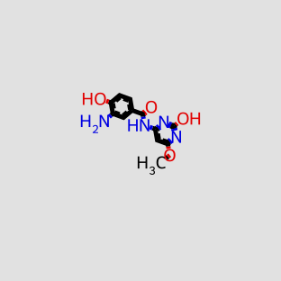 COc1cc(NC(=O)c2ccc(O)c(N)c2)nc(O)n1